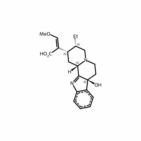 CC[C@@H]1CN2CC[C@@]3(O)C(=Nc4ccccc43)[C@@H]2C[C@@H]1C(=COC)C(=O)O